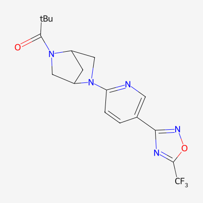 CC(C)(C)C(=O)N1CC2CC1CN2c1ccc(-c2noc(C(F)(F)F)n2)cn1